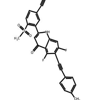 Cc1ccc(C#Cc2c(F)cc3[nH]c(-c4cc(C#N)ccc4S(C)(=O)=O)cc(=O)c3c2F)cc1